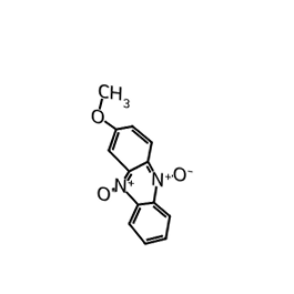 COc1ccc2c(c1)[n+]([O-])c1ccccc1[n+]2[O-]